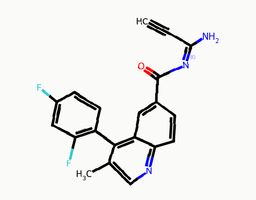 C#C/C(N)=N\C(=O)c1ccc2ncc(C)c(-c3ccc(F)cc3F)c2c1